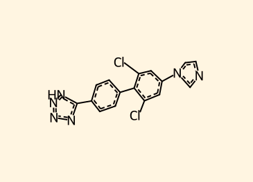 Clc1cc(-n2ccnc2)cc(Cl)c1-c1ccc(-c2nnn[nH]2)cc1